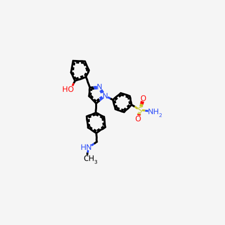 CNCc1ccc(-c2cc(-c3ccccc3O)nn2-c2ccc(S(N)(=O)=O)cc2)cc1